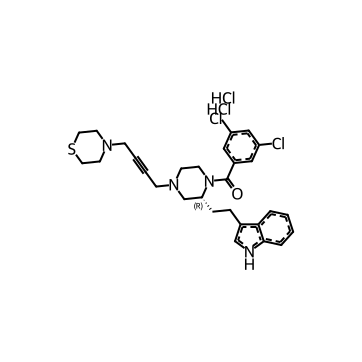 Cl.Cl.O=C(c1cc(Cl)cc(Cl)c1)N1CCN(CC#CCN2CCSCC2)C[C@H]1CCc1c[nH]c2ccccc12